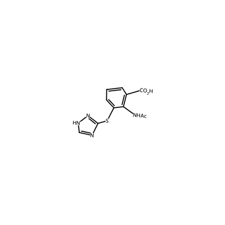 CC(=O)Nc1c(Sc2nc[nH]n2)cccc1C(=O)O